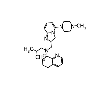 CC(C)CN(CC1CN2C(N3CCN(C)CC3)=CC=CC2=N1)[C@H]1CCCc2cccnc21